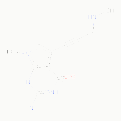 CNCC#Cc1cn(C)c2nc(N)[nH]c(=O)c12